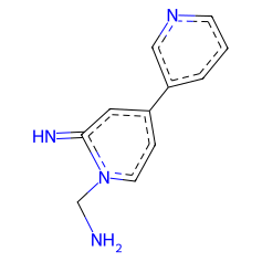 N=c1cc(-c2cccnc2)ccn1CN